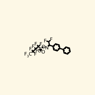 O=S(=O)(ON=C(c1ccc(-c2ccccc2)cc1)C(F)F)C(F)(F)C(F)(F)C(F)(F)C(F)(F)F